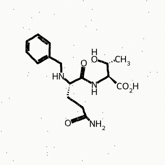 C[C@@H](O)[C@H](NC(=O)[C@H](CCC(N)=O)NCc1ccccc1)C(=O)O